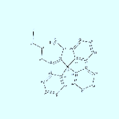 CCC1=C(CCCI)c2ccccc2C1(C1=CCCC=C1)c1ccccc1